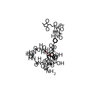 CC[C@H](C)[C@@H]1NC(=O)CNC(=O)[C@@H]2Cc3c([nH]c4cc(O)ccc34)[S@+]([O-])CC(NC(=O)CNC1=O)C(=O)N[C@@H](CC(N)=O)C(=O)N1CC(O)C[C@H]1C(=O)N[C@@H]([C@@H](C)[C@@H]1COC(c3ccc(NC(=O)[C@@H](C)NC(=O)C(NC(=O)CCC4C(=O)CC(C)C4=O)C(C)C)cc3)O1)C(=O)N2